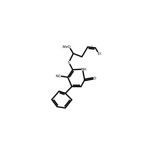 CC/C=C\CC(OC)Sc1[nH]c(=O)cc(-c2ccccc2)c1C#N